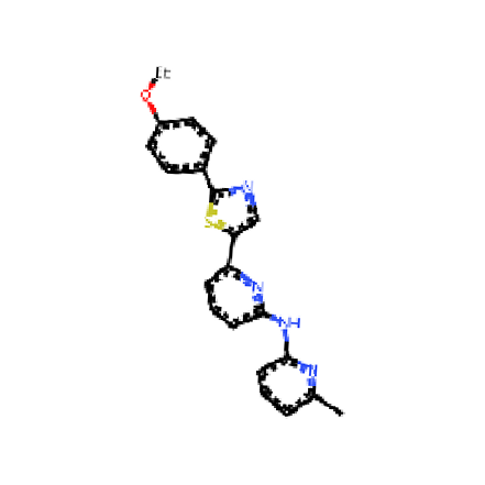 CCOc1ccc(-c2ncc(-c3cccc(Nc4cccc(C)n4)n3)s2)cc1